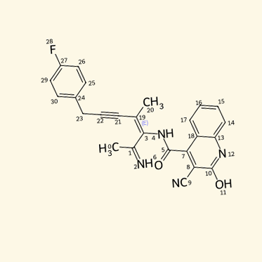 CC(=N)/C(NC(=O)c1c(C#N)c(O)nc2ccccc12)=C(/C)C#CCc1ccc(F)cc1